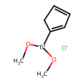 C[O][Ti+]([O]C)[C]1=CC=CC1.[Cl-]